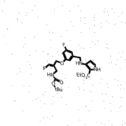 CCOC(=O)c1[nH]ccc1NCc1cc(F)cc(OC/C(=C/F)CNC(=O)OC(C)(C)C)c1